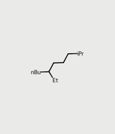 CCCC[C](CC)CCCC(C)C